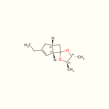 CCC1=C[C@@H]2[C@H](C1)CC21O[C@H](C)[C@@H](C)O1